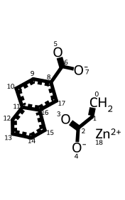 C=CC(=O)[O-].O=C([O-])c1ccc2ccccc2c1.[Zn+2]